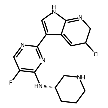 Fc1cnc(-c2c[nH]c3c2=CC(Cl)CN=3)nc1N[C@H]1CCCNC1